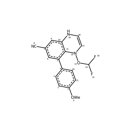 COc1ccc(-c2cc(C#N)cc3c2N(OC(F)F)C=CN3)cc1